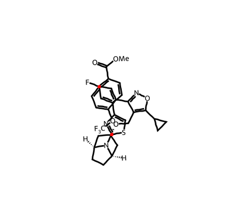 COC(=O)c1ccc(-c2csc(N3[C@@H]4CC[C@H]3C[C@H](OCc3c(-c5ccccc5OC(F)(F)F)noc3C3CC3)C4)n2)cc1F